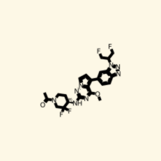 COc1nc(N[C@@H]2CCN(C(C)=O)CC2(F)F)nn2ccc(-c3ccc4nnn(C(CF)CF)c4c3)c12